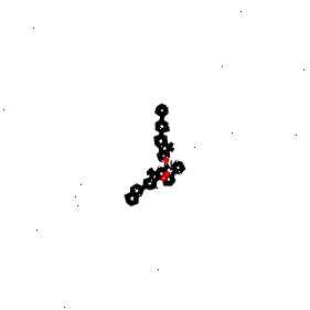 CC1(C)c2cc(-c3ccc(-c4ccccc4)cc3)ccc2-c2ccc(N(c3ccc4c(c3)C(C)(C)c3cc(-c5ccc6ccccc6c5)ccc3-4)c3ccccc3-c3ccccc3)cc21